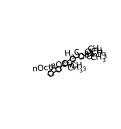 CCCCCCCCC1(CCCCCCCC)c2ccccc2-c2ccc(-c3ccc4c(c3)C(C)(C)c3cc(-c5ccc(B6OC(C)(C)C(C)(C)O6)cc5C)ccc3-4)cc21